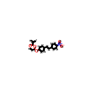 C=CC(OC(=O)C(=C)C)Oc1ccc(C=Cc2ccc([N+](=O)[O-])cc2)cc1